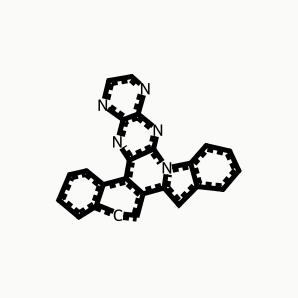 c1ccc2c(c1)ccc1c2c2nc3nccnc3nc2n2c3ccccc3cc12